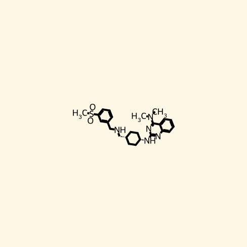 CN(C)c1nc(N[C@H]2CC[C@@H](CNCc3cccc(S(C)(=O)=O)c3)CC2)nc2ccccc12